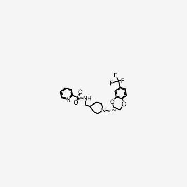 O=S(=O)(NCC1CCN(C[C@H]2COc3ccc(C(F)(F)F)cc3O2)CC1)c1ccccn1